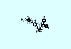 Cc1cc2nc([C@@H]3CO[C@H](CCc4c(F)cncc4NC(=O)C(N)C(c4ccc(F)cc4)c4ccc(F)cc4)CN3)[nH]c2cc1C